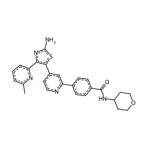 Cc1cccc(-c2nc(N)sc2-c2ccnc(-c3ccc(C(=O)NC4CCOCC4)cc3)c2)n1